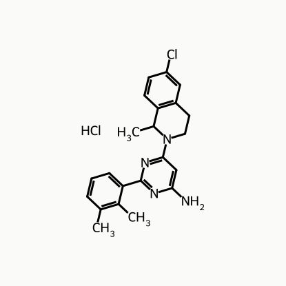 Cc1cccc(-c2nc(N)cc(N3CCc4cc(Cl)ccc4C3C)n2)c1C.Cl